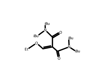 CCOC=C(C(=O)N(C(C)CC)C(C)CC)C(=O)N(C(C)CC)C(C)CC